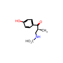 C[C@@H](CNC(=O)O)C(=O)c1ccc(O)cc1